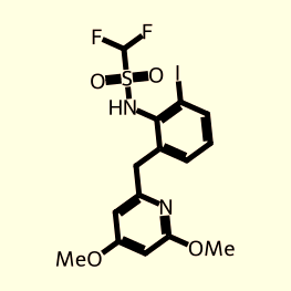 COc1cc(Cc2cccc(I)c2NS(=O)(=O)C(F)F)nc(OC)c1